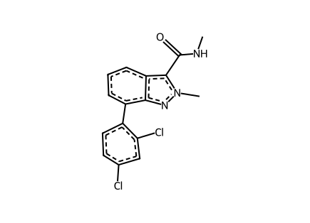 CNC(=O)c1c2cccc(-c3ccc(Cl)cc3Cl)c2nn1C